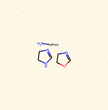 C1=NCCN1.C1=NCCO1.CCCCCN